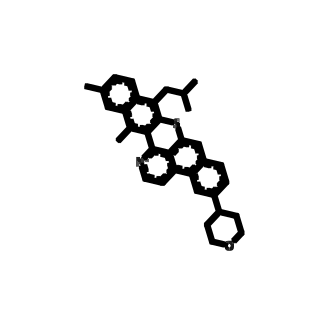 Cc1ccc2c(CC(C)C)c3c(c(C)c2c1)-c1nccc2c1c(cc1ccc(C4CCOCC4)cc12)S3